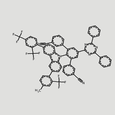 Cc1ccc(-c2ccc3c(c2)c2cc(-c4ccc(C(F)(F)F)cc4C(F)(F)F)ccc2n3-c2c(-c3cccc(C#N)c3)cc(-c3nc(-c4ccccc4)nc(-c4ccccc4)n3)cc2-c2cccc(C#N)c2)c(C(F)(F)F)c1